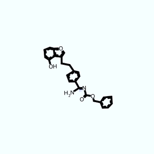 N/C(=N\C(=O)OCc1ccccc1)c1ccc(CCc2coc3cccc(O)c23)cc1